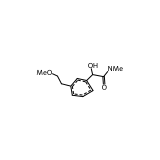 CNC(=O)C(O)c1cccc(CCOC)c1